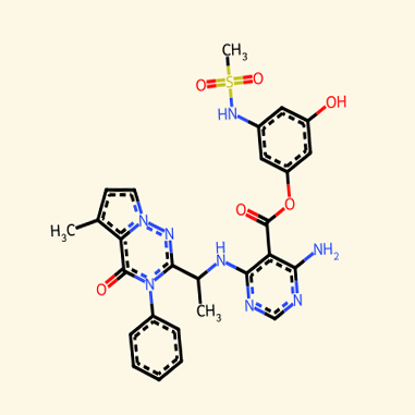 Cc1ccn2nc(C(C)Nc3ncnc(N)c3C(=O)Oc3cc(O)cc(NS(C)(=O)=O)c3)n(-c3ccccc3)c(=O)c12